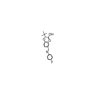 CC(C)(C)C(Oc1ccc(/C=N/c2ccc(F)cc2)cc1)C(=O)O